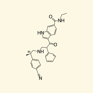 CCNC(=O)c1ccc2c(C(=O)C(CNC[C@H](C)c3ccc(C#N)cc3)c3ccccc3)c[nH]c2c1